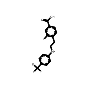 O=C(O)c1ccc(CCNc2ccc(C(F)(F)F)cc2)c(F)c1